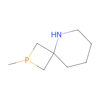 CP1CC2(CCCCN2)C1